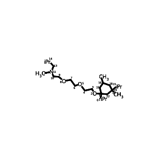 CCCC1(OCCOCCOCCN(C)CC(C)C)CC(C)CC(C)(C(C)C)C1